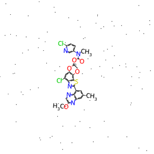 COc1cnc2c(-c3nc4c(Cl)cc5c(c4s3)OC[C@@H](OC(=O)N(C)c3ccc(Cl)nc3)O5)cc(C)cc2n1